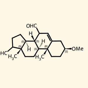 CO[C@H]1CC[C@@]2(C)C(=CC(C=O)[C@@H]3[C@@H]2CC[C@]2(C)C(C=O)CC[C@@H]32)C1